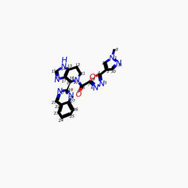 Cn1cc(-c2nnc(C(=O)N3CCc4[nH]cnc4[C@@H]3c3ncc4ccccc4n3)o2)cn1